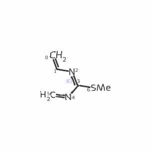 C=C/N=C(\N=C)SC